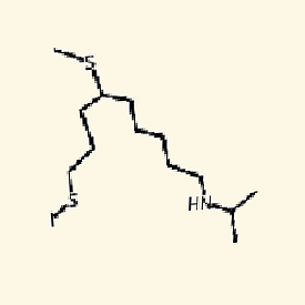 CSC(CCCCCNC(C)C)CCCSI